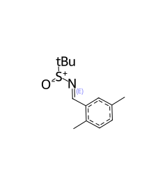 Cc1ccc(C)c(/C=N/[S+]([O-])C(C)(C)C)c1